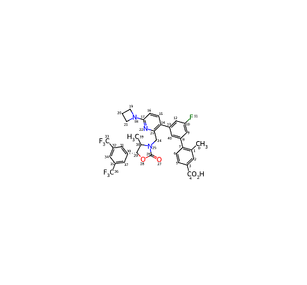 Cc1cc(C(=O)O)ccc1-c1cc(F)cc(-c2ccc(N3CCC3)nc2CN2C(=O)O[C@H](c3cc(C(F)(F)F)cc(C(F)(F)F)c3)C2C)c1